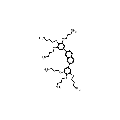 NCCCOc1cc(-c2ccc3ccc(-c4cc(OCCCN)c(OCCCN)c(OCCCN)c4)cc3c2)cc(OCCCN)c1OCCCN